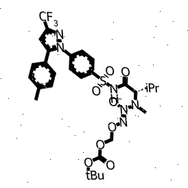 Cc1ccc(-c2cc(C(F)(F)F)nn2-c2ccc(S(=O)(=O)NC(=O)[C@H](C(C)C)N(C)/[N+]([O-])=N/OCOC(=O)OC(C)(C)C)cc2)cc1